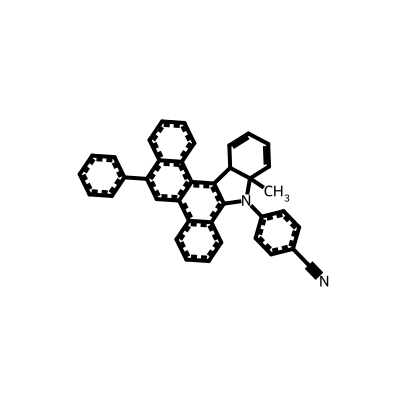 CC12C=CC=CC1c1c(c3ccccc3c3cc(-c4ccccc4)c4ccccc4c13)N2c1ccc(C#N)cc1